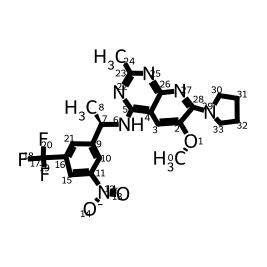 COc1cc2c(N[C@H](C)c3cc([N+](=O)[O-])cc(C(F)(F)F)c3)nc(C)nc2nc1N1CCCC1